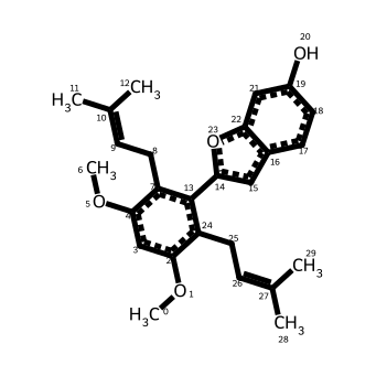 COc1cc(OC)c(CC=C(C)C)c(-c2cc3ccc(O)cc3o2)c1CC=C(C)C